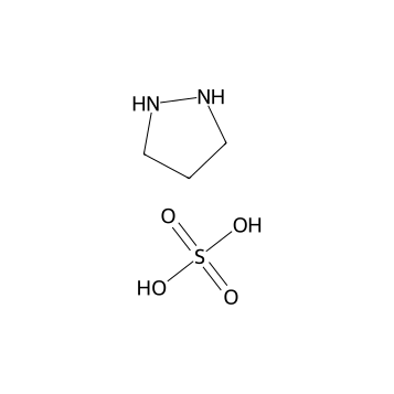 C1CNNC1.O=S(=O)(O)O